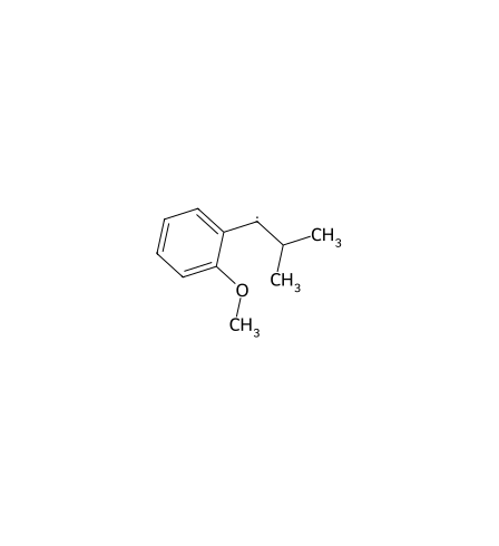 COc1ccccc1[CH]C(C)C